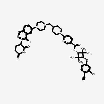 CC1(C)[C@H](NC(=O)c2ccc(N3CCC(CN4CCN(c5ccc6nnn(C7CCC(=O)NC7=O)c(=O)c6c5)CC4)CC3)nc2)C(C)(C)[C@H]1Oc1ccc(C#N)c(Cl)c1